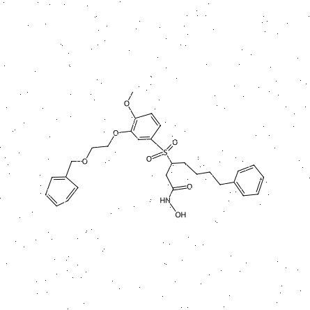 COc1ccc(S(=O)(=O)C(CCCCc2ccccc2)CC(=O)NO)cc1OCCOCc1ccccc1